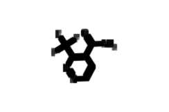 NC(=O)c1ccnnc1C(F)(F)F